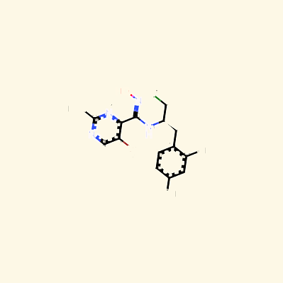 Cc1ccc(C[C@H](CCl)NC(=NO)c2nc(C)ncc2Br)c(C)c1